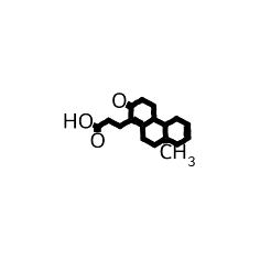 CC12CC=CCC1C1CCC(=O)C(CCC(=O)O)=C1CC2